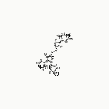 Cc1sc(CCc2sc(-c3ccc(Cl)cc3)c(C3C=CN=CN3)c2C)cc1C1C=CN=CN1C